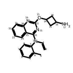 C=CN(c1ccccc1C)c1nc(OC2CC(N)C2)nc2ccccc12